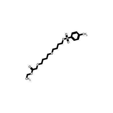 CCOC(=O)COCCCCOCCCCOS(=O)(=O)c1ccc(C)cc1